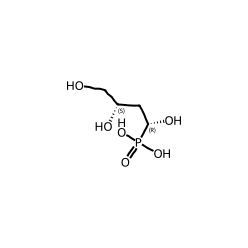 O=P(O)(O)[C@@H](O)C[C@H](O)CO